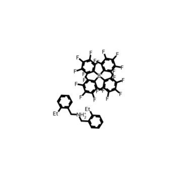 CCc1ccccc1C[NH2+]Cc1ccccc1CC.Fc1c(F)c(F)c([B-](c2c(F)c(F)c(F)c(F)c2F)(c2c(F)c(F)c(F)c(F)c2F)c2c(F)c(F)c(F)c(F)c2F)c(F)c1F